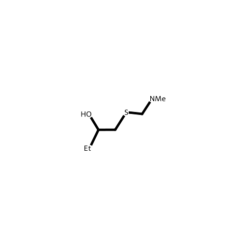 CCC(O)CSCNC